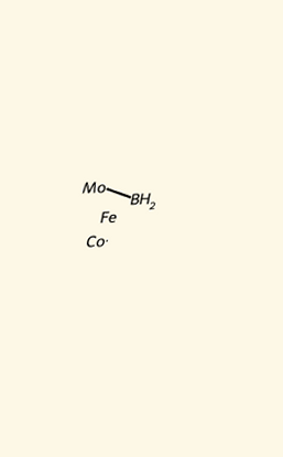 [BH2][Mo].[Co].[Fe]